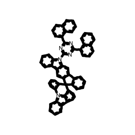 c1ccc2c(c1)-c1cc3c(cc1C21c2ccccc2-n2c4ccccc4c4cccc1c42)c1ccccc1n3-c1nc(-c2cccc3ccccc23)nc(-c2cccc3ccccc23)n1